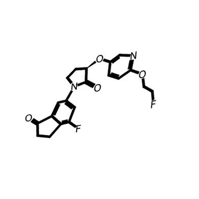 O=C1CCc2c(F)cc(N3CC[C@@H](Oc4ccc(OCCF)nc4)C3=O)cc21